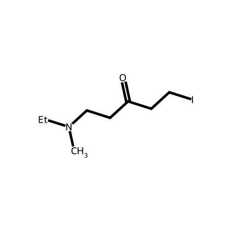 CCN(C)CCC(=O)CCI